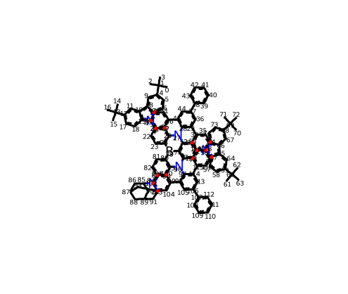 CC(C)(C)c1ccc2c(c1)c1cc(C(C)(C)C)ccc1n2-c1ccc2c(c1)N(c1c(-c3ccccc3)cc(-c3ccccc3)cc1-c1ccccc1)c1cc(-n3c4ccc(C(C)(C)C)cc4c4cc(C(C)(C)C)ccc43)cc3c1B2c1ccc(N2C4CC5CC(C4)CC2C5)cc1N3c1c(-c2ccccc2)cc(-c2ccccc2)cc1-c1ccccc1